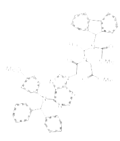 COC(=O)CN(C(=O)Cn1cnc2c(N(c3ccc(OC)cc3)C(c3ccccc3)c3ccccc3)ncnc21)C(C)N(C(=O)OC)C1c2ccccc2-c2ccccc21